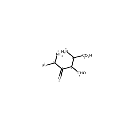 CC(C)C(N)C(=O)C(C=O)C(N)C(=O)O